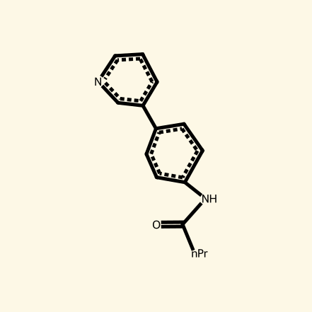 CCCC(=O)Nc1ccc(-c2cccnc2)cc1